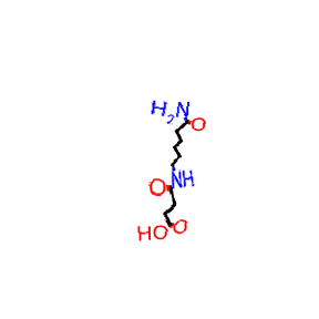 NC(=O)CCCCCNC(=O)CCC(=O)O